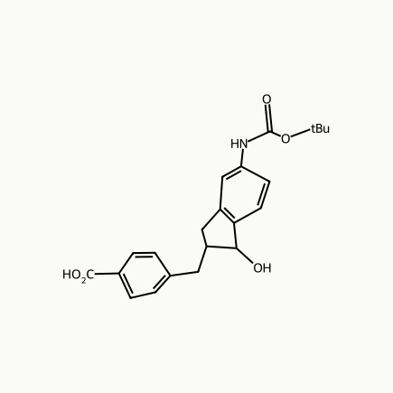 CC(C)(C)OC(=O)Nc1ccc2c(c1)CC(Cc1ccc(C(=O)O)cc1)C2O